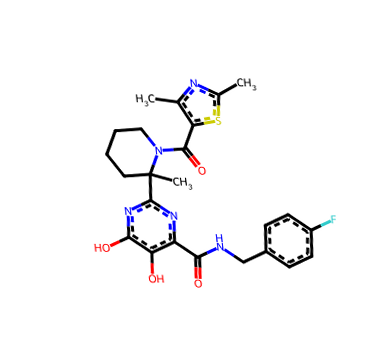 Cc1nc(C)c(C(=O)N2CCCCC2(C)c2nc(O)c(O)c(C(=O)NCc3ccc(F)cc3)n2)s1